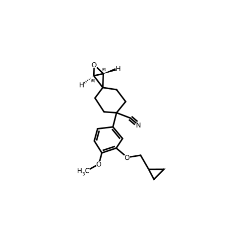 COc1ccc(C2(C#N)CCC3(CC2)[C@H]2O[C@@H]23)cc1OCC1CC1